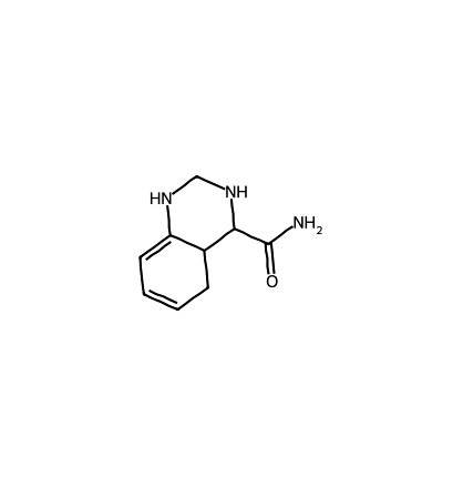 NC(=O)C1NCNC2=CC=CCC21